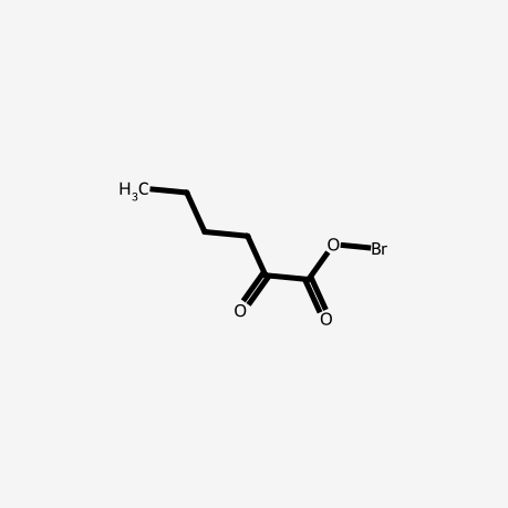 CCCCC(=O)C(=O)OBr